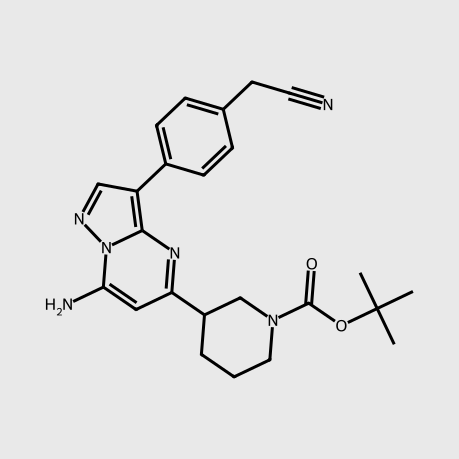 CC(C)(C)OC(=O)N1CCCC(c2cc(N)n3ncc(-c4ccc(CC#N)cc4)c3n2)C1